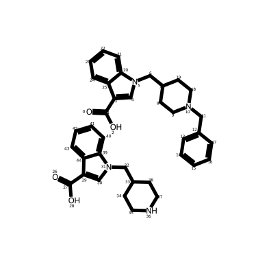 O=C(O)c1cn(CC2CCN(Cc3ccccc3)CC2)c2ccccc12.O=C(O)c1cn(CC2CCNCC2)c2ccccc12